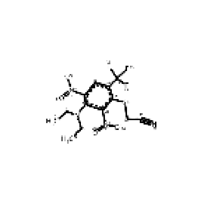 CCN(CC)c1c([N+](=O)[O-])cc(C(F)(F)F)c(SCC#N)c1[N+](=O)[O-]